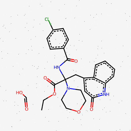 CCOC(=O)C(Cc1cc(=O)[nH]c2ccccc12)(NC(=O)c1ccc(Cl)cc1)N1CCOCC1.O=CO